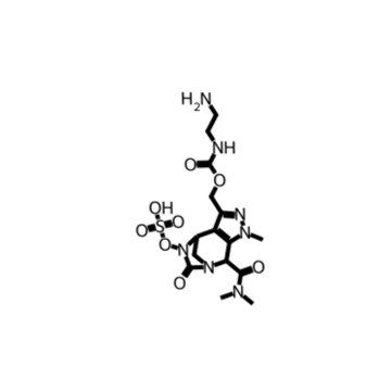 CN(C)C(=O)C1c2c(c(COC(=O)NCCN)nn2C)C2CN1C(=O)N2OS(=O)(=O)O